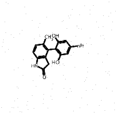 CCCc1cc(O)c(-c2c(C)ccc3c2CC(=O)N3)c(O)c1